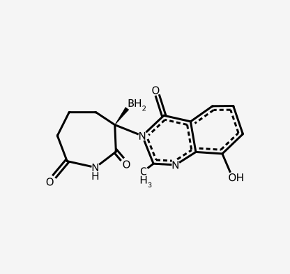 B[C@]1(n2c(C)nc3c(O)cccc3c2=O)CCCC(=O)NC1=O